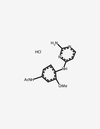 COc1cc(NC(C)=O)ccc1Nc1ccnc(N)n1.Cl